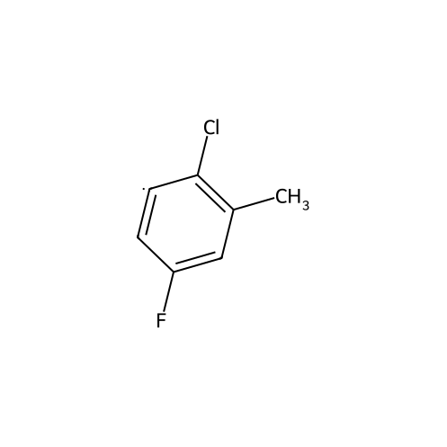 Cc1cc(F)c[c]c1Cl